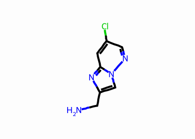 NCc1cn2ncc(Cl)cc2n1